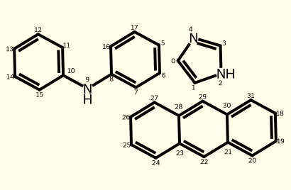 c1c[nH]cn1.c1ccc(Nc2ccccc2)cc1.c1ccc2cc3ccccc3cc2c1